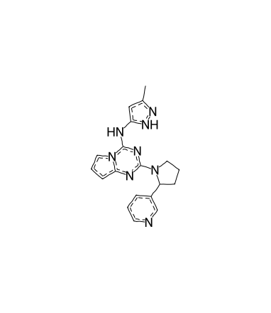 Cc1cc(Nc2nc(N3CCCC3c3cccnc3)nc3cccn23)[nH]n1